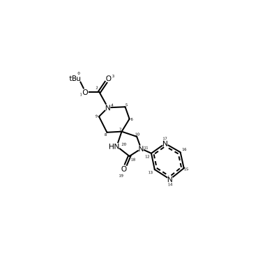 CC(C)(C)OC(=O)N1CCC2(CC1)CN(c1cnccn1)C(=O)N2